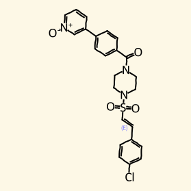 O=C(c1ccc(-c2ccc[n+]([O-])c2)cc1)N1CCN(S(=O)(=O)/C=C/c2ccc(Cl)cc2)CC1